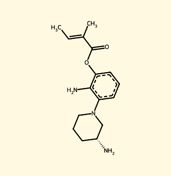 CC=C(C)C(=O)Oc1cccc(N2CCC[C@@H](N)C2)c1N